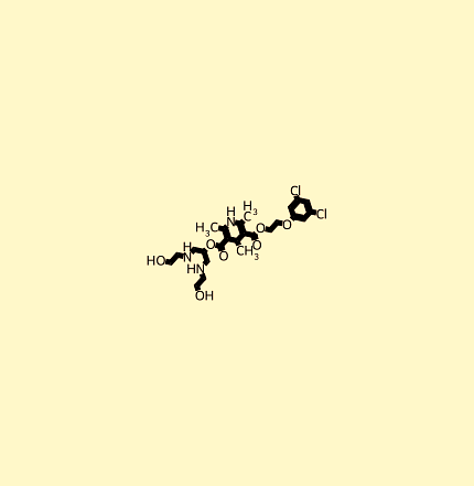 CC1=C(C(=O)OCCOc2cc(Cl)cc(Cl)c2)C(C)C(C(=O)OC(CNCCO)CNCCO)=C(C)N1